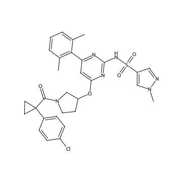 Cc1cccc(C)c1-c1cc(OC2CCN(C(=O)C3(c4ccc(Cl)cc4)CC3)C2)nc(NS(=O)(=O)c2cnn(C)c2)n1